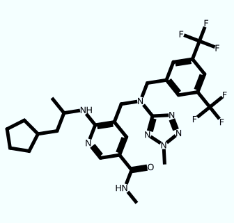 CNC(=O)c1cnc(NC(C)CC2CCCC2)c(CN(Cc2cc(C(F)(F)F)cc(C(F)(F)F)c2)c2nnn(C)n2)c1